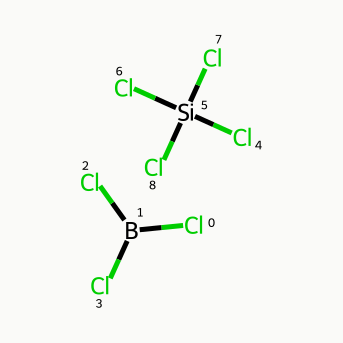 ClB(Cl)Cl.Cl[Si](Cl)(Cl)Cl